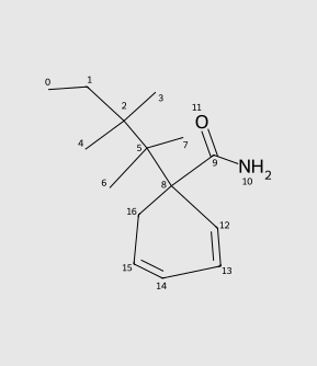 CCC(C)(C)C(C)(C)C1(C(N)=O)C=CC=CC1